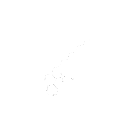 CCCCCCCCCc1ccc2ccccc2c1S(=O)(=O)O.N